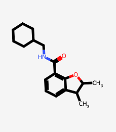 CC1Oc2c(C(=O)NCC3CCCCC3)cccc2C1C